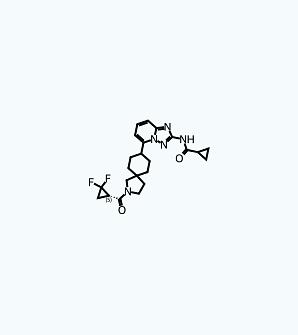 O=C(Nc1nc2cccc(C3CCC4(CC3)CCN(C(=O)[C@@H]3CC3(F)F)C4)n2n1)C1CC1